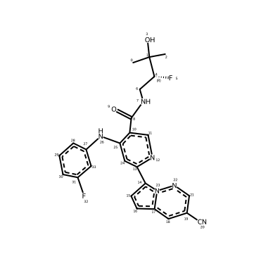 CC(C)(O)[C@H](F)CNC(=O)c1cnc(-c2ccc3cc(C#N)cnn23)cc1Nc1cccc(F)c1